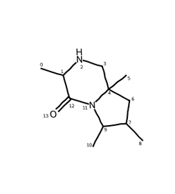 CC1NCC2(C)CC(C)C(C)N2C1=O